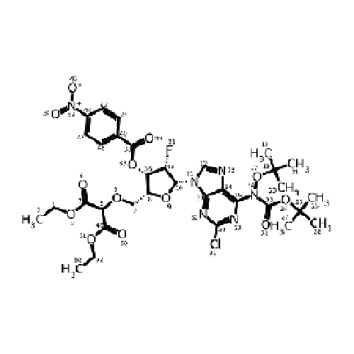 CCOC(=O)C(OC[C@H]1O[C@@H](n2cnc3c(N(OC(C)(C)C)C(=O)OC(C)(C)C)nc(Cl)nc32)[C@@H](F)[C@H]1OC(=O)c1ccc([N+](=O)[O-])cc1)C(=O)OCC